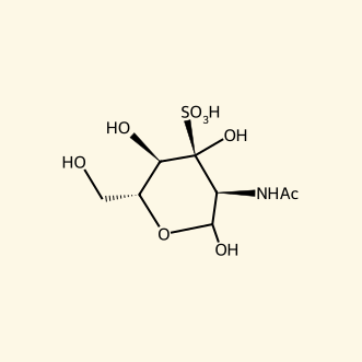 CC(=O)N[C@H]1C(O)O[C@H](CO)[C@@H](O)[C@@]1(O)S(=O)(=O)O